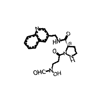 O=CN(O)CCC(=O)N1NCC[C@H]1C(=O)NCc1cnc2ccccc2c1